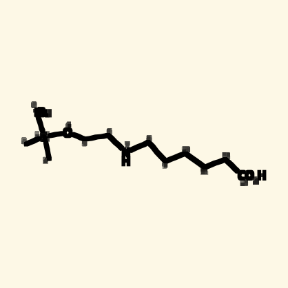 CC(C)(C)[Si](C)(C)OCCNCCCCCC(=O)O